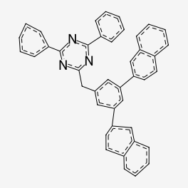 c1ccc(-c2nc(Cc3cc(-c4ccc5ccccc5c4)cc(-c4ccc5ccccc5c4)c3)nc(-c3ccccc3)n2)cc1